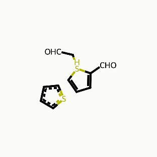 O=CC[SH]1C=CC=C1C=O.c1ccsc1